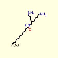 CCCCCCCC/C=C/CCCCCCCC(=O)NCC(CCCN)CCCCN